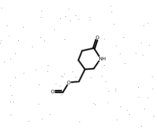 O=COCC1CCC(=O)NC1